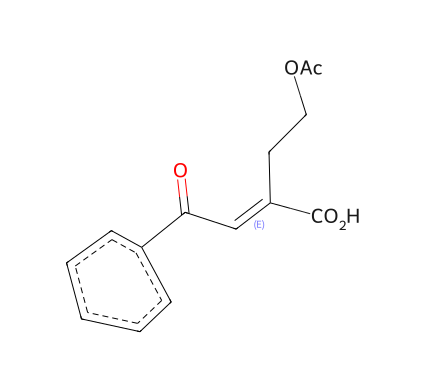 CC(=O)OCC/C(=C\C(=O)c1ccccc1)C(=O)O